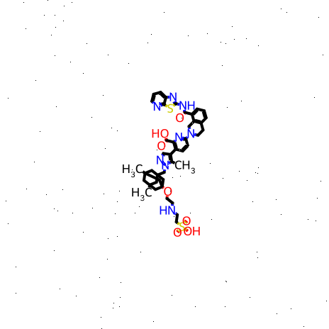 Cc1c(-c2ccc(N3CCc4cccc(C(=O)Nc5nc6cccnc6s5)c4C3)nc2C(=O)O)cnn1CC12CC3(C)CC(C)(C1)CC(OCCNCCS(=O)(=O)O)(C3)C2